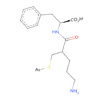 CC(=O)SCC(CCCN)C(=O)N[C@@H](Cc1ccccc1)C(=O)O